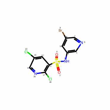 O=S(=O)(Nc1cncc(Br)c1)c1cc(Cl)cnc1Cl